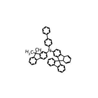 CC1(C)c2ccccc2-c2ccc(N(c3ccc(-c4ccccc4)cc3)c3ccc4c(c3)C3(c5ccccc5-c5ccccc53)C3C=CC=CC43)cc21